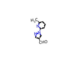 Cc1cccc(-n2cc(C=O)cn2)n1